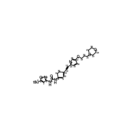 CC(C)(C)c1cc(NC(=O)NC2=CC=C(C#Cc3ccc(OCCCN4CCOCC4)cn3)CC2)no1